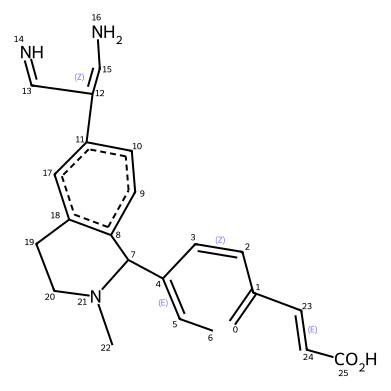 C=C(/C=C\C(=C/C)C1c2ccc(/C(C=N)=C/N)cc2CCN1C)/C=C/C(=O)O